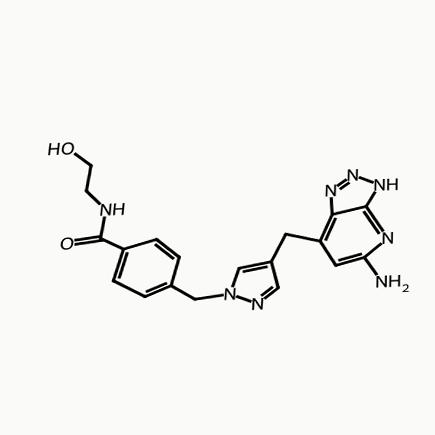 Nc1cc(Cc2cnn(Cc3ccc(C(=O)NCCO)cc3)c2)c2nn[nH]c2n1